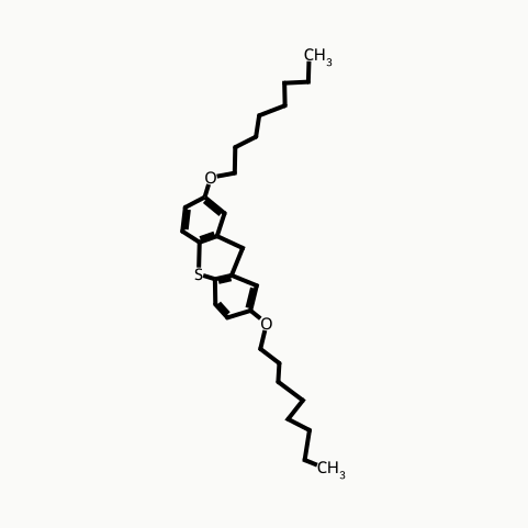 CCCCCCCCOc1ccc2c(c1)Cc1cc(OCCCCCCCC)ccc1S2